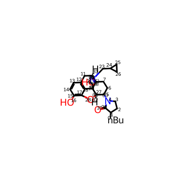 CCCCC1CCN([C@@H]2CC[C@@]3(O)[C@H]4Cc5ccc(O)c6c5[C@@]3(CCN4CC3CC3)[C@H]2O6)C1=O